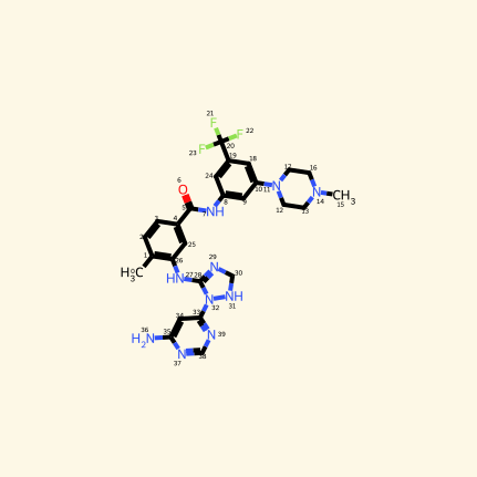 Cc1ccc(C(=O)Nc2cc(N3CCN(C)CC3)cc(C(F)(F)F)c2)cc1NC1=NCNN1c1cc(N)ncn1